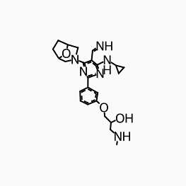 CNCC(O)COc1cccc(-c2nc(NC3CC3)c(C=N)c(N3CC4CCC(C3)O4)n2)c1